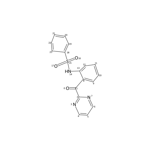 O=C(c1ncccn1)c1ccccc1NS(=O)(=O)c1ccccc1